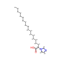 CCCCCCCCCCCCCCCCCCC(C(=O)O)n1ccnc1